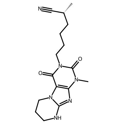 C[C@@H](C#N)CCCCn1c(=O)c2c(nc3n2CCCN3)n(C)c1=O